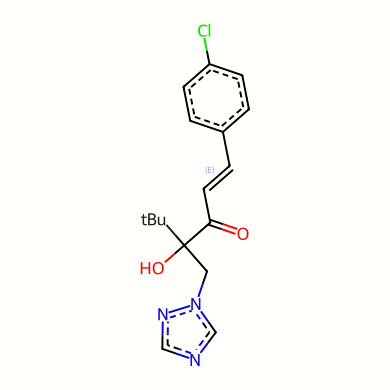 CC(C)(C)C(O)(Cn1cncn1)C(=O)/C=C/c1ccc(Cl)cc1